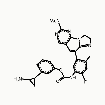 CNc1ncc2c(n1)N1CCN=C1C(c1cc(NC(=O)Oc3cccc(C4CC4N)c3)c(F)cc1C)=C2